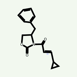 O=C(/C=C/C1CC1)N1C(=O)OCC1Cc1ccccc1